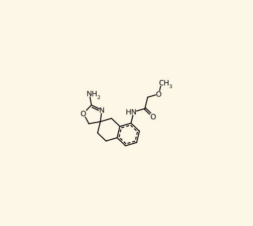 COCC(=O)Nc1cccc2c1CC1(CC2)COC(N)=N1